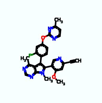 C#Cc1cc(OC)c(-c2c(-c3ccc(Oc4nccc(C)n4)cc3F)c3c(C)ncnc3n2C)cn1